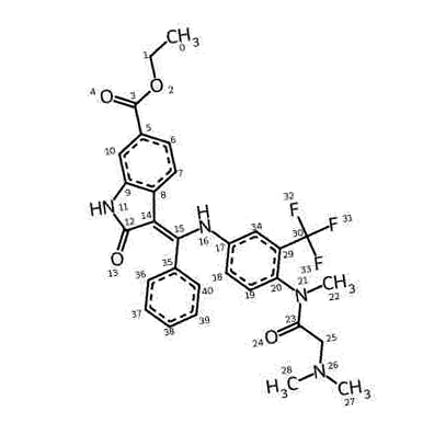 CCOC(=O)c1ccc2c(c1)NC(=O)/C2=C(/Nc1ccc(N(C)C(=O)CN(C)C)c(C(F)(F)F)c1)c1ccccc1